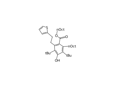 CCCCCCCCOC(=O)c1c(CCCCCCCC)c(C(C)(C)C)c(O)c(C(C)(C)C)c1CCc1cccs1